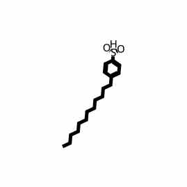 CCCCCCCCCCCCc1ccc([SH](=O)=O)cc1